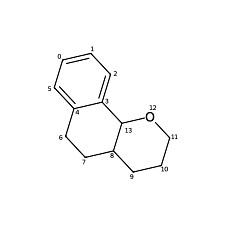 c1ccc2c(c1)CCC1CCCOC21